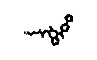 COCCNC(=O)CN1Cc2ccccc2N(C(=O)c2ccc(-n3cccn3)nc2)CC1=O